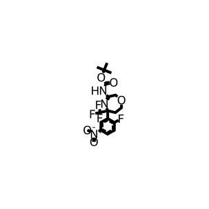 CC(C)(C)OC(=O)NC1=NC(c2cc([N+](=O)[O-])ccc2F)(C(F)(F)F)CCOC1